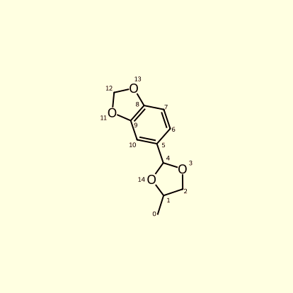 CC1COC(c2ccc3c(c2)OCO3)O1